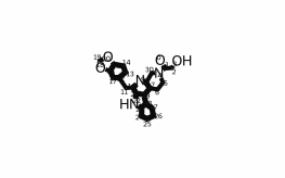 O=C(CO)N1CCc2c(nc(Cc3ccc4c(c3)OCO4)c3[nH]c4ccccc4c23)C1